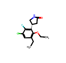 CCOc1c(CC)cc(Cl)c(F)c1[C@@H]1CNC(=O)C1